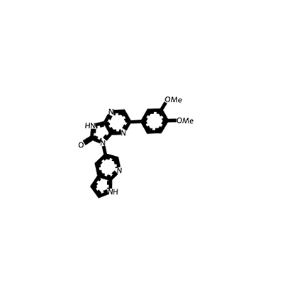 COc1ccc(-c2cnc3[nH]c(=O)n(-c4cnc5[nH]ccc5c4)c3n2)cc1OC